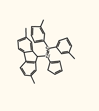 Cc1cccc([Si](c2cccc(C)c2)=[Zr]([C]2=CC=CC2)[CH]2c3cc(C)ccc3-c3ccc(C)cc32)c1